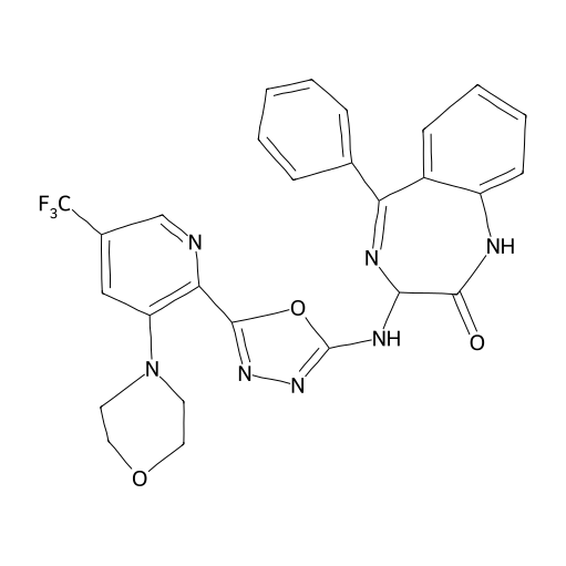 O=C1Nc2ccccc2C(c2ccccc2)=NC1Nc1nnc(-c2ncc(C(F)(F)F)cc2N2CCOCC2)o1